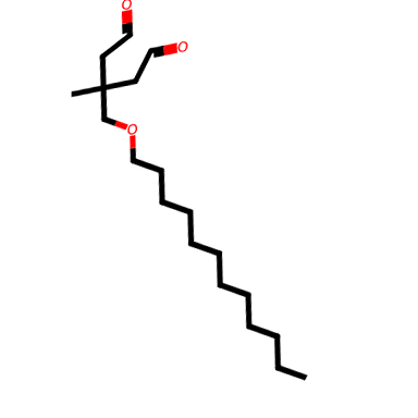 CCCCCCCCCCCCOCC(C)(CC=O)CC=O